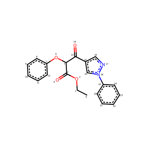 CCOC(=O)C(Oc1ccccc1)C(=O)c1cnn(-c2ccccc2)c1